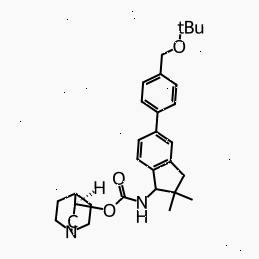 CC(C)(C)OCc1ccc(-c2ccc3c(c2)CC(C)(C)C3NC(=O)O[C@H]2CN3CCC2CC3)cc1